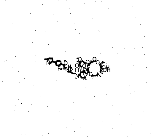 CC[C@H]1OC(=O)[C@H](C)[C@@H](O[C@H]2C[C@@](C)(OC)[C@@H](O)[C@H](C)O2)C[C@@H](O[C@H]2C[C@@H](N(C)CCc3cn([C@H](CF)[C@H](OC)c4ccc(-c5ccc(C)nc5)cc4)nn3)C[C@@H](C)O2)[C@](C)(O)C[C@@H](C)CN(C)[C@H](C)[C@@H](O)[C@]1(C)O